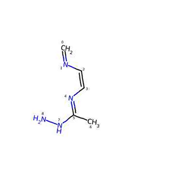 C=N/C=C\N=C(/C)NN